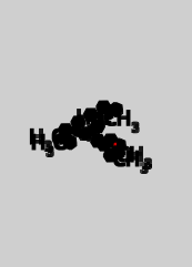 CC1(C)c2ccccc2-c2c(/C(=C/c3ccc(N(c4ccc(/C=C(\c5ccccc5)c5cccc6c5-c5ccccc5C6(C)C)cc4)c4ccc(/C=C(\c5ccccc5)c5cccc6c5C(C)(C)c5ccccc5-6)cc4)cc3)c3ccccc3)cccc21